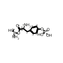 N[C@@H](Cc1ccc(OP(=O)(O)O)cc1)C(=O)OP(N)O